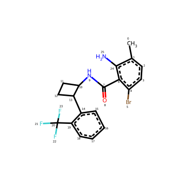 Cc1ccc(Br)c(C(=O)NC2CCC2c2ccccc2C(F)(F)F)c1N